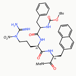 CNC(=O)[C@H](Cc1ccc2ccccc2c1)NC(=O)[C@@H](CCCN(C(=N)N)[N+](=O)[O-])NC(=O)C(Cc1ccccc1)NC(=O)OC(C)(C)C